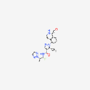 CC(=C(F)NC(=O)c1cnn(-c2cccc3c2C=CNC3=C=O)c1C(F)(F)F)n1nccn1